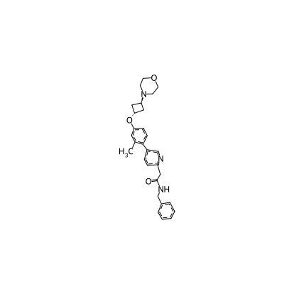 Cc1cc(O[C@H]2C[C@H](N3CCOCC3)C2)ccc1-c1ccc(CC(=O)NCc2ccccc2)nc1